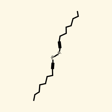 CCCCCCCC#C[P][P]C#CCCCCCCC